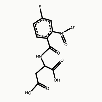 O=C(O)CC(NC(=O)c1ccc(F)cc1[N+](=O)[O-])C(=O)O